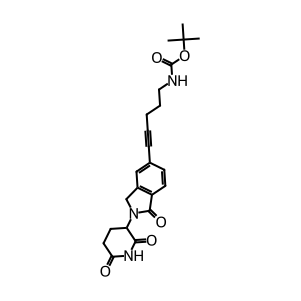 CC(C)(C)OC(=O)NCCCC#Cc1ccc2c(c1)CN(C1CCC(=O)NC1=O)C2=O